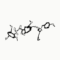 COc1ccc(Cn2nc(C3CC3)cc2Nc2cc3onc(NS(=O)(=O)c4c(OC)cc(Br)cc4OC)c3cc2OC)cc1